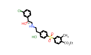 CCOC(=O)c1ccc(S(=O)(=O)c2ccc(CCNC[C@@H](O)c3cccc(Cl)c3)cc2)cc1C.Cl